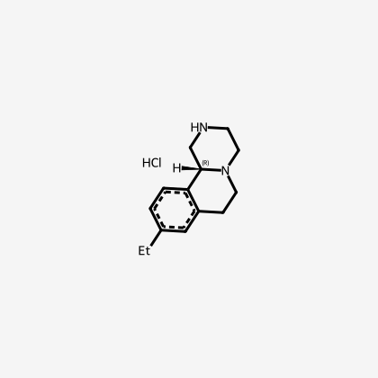 CCc1ccc2c(c1)CCN1CCNC[C@@H]21.Cl